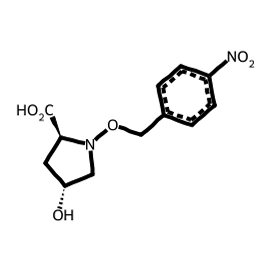 O=C(O)[C@@H]1C[C@@H](O)CN1OCc1ccc([N+](=O)[O-])cc1